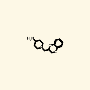 NC1CCN(CC2COc3ccccc3O2)CC1